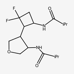 CC(C)C(=O)NC1COCC1C1C(NC(=O)C(C)C)CC1(F)F